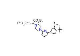 CCOC(=O)CCC(C(=O)OCC)N1CCN(c2cccc(-c3ccc4c(c3)C(C)(C)CCC4(C)C)n2)CC1